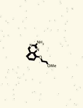 COCCOc1cccc2cnc(N)nc12